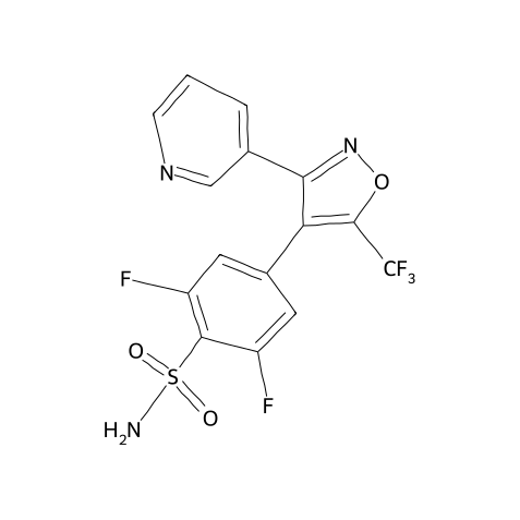 NS(=O)(=O)c1c(F)cc(-c2c(-c3cccnc3)noc2C(F)(F)F)cc1F